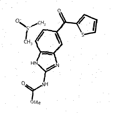 COC(=O)Nc1nc2cc(C(=O)c3cccs3)ccc2[nH]1.C[S+](C)[O-]